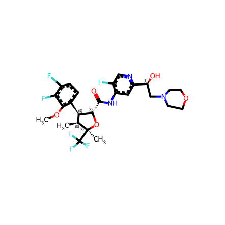 COc1c([C@H]2[C@H](C(=O)Nc3cc([C@@H](O)CN4CCOCC4)ncc3F)O[C@@](C)(C(F)(F)F)[C@H]2C)ccc(F)c1F